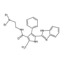 CCN(CC)CCNC(=O)c1c(C)[nH]c(-c2nc3ccccc3[nH]2)c1-c1ccccc1